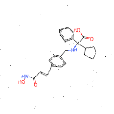 O=C(C=Cc1ccc(CN[C@](C(=O)O)(c2ccccc2)C2CCCC2)cc1)NO